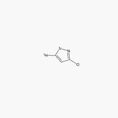 [2H]c1cc(Cl)ns1